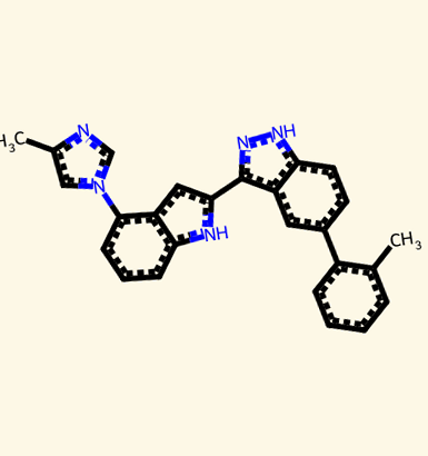 Cc1cn(-c2cccc3[nH]c(-c4n[nH]c5ccc(-c6ccccc6C)cc45)cc23)cn1